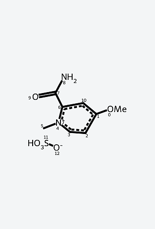 COc1cc[n+](C)c(C(N)=O)c1.O=S(=O)([O-])O